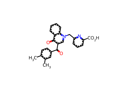 Cc1ccc(C(=O)c2cn(Cc3cccc(C(=O)O)n3)c3ccccc3c2=O)cc1C